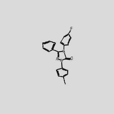 Cc1ccc(-n2nc(-c3ccccc3)n(-c3ccc(F)cc3)c2=O)cc1